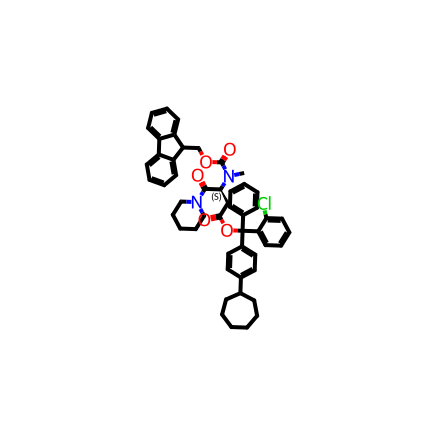 CN(C(=O)OCC1c2ccccc2-c2ccccc21)[C@@H](CC(=O)OC(c1ccccc1)(c1ccc(C2CCCCCC2)cc1)c1ccccc1Cl)C(=O)N1CCCCC1